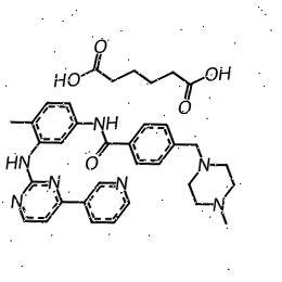 Cc1ccc(NC(=O)c2ccc(CN3CCN(C)CC3)cc2)cc1Nc1nccc(-c2cccnc2)n1.O=C(O)CCCCC(=O)O